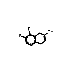 OC1=CCc2ccc(F)c(F)c2C1